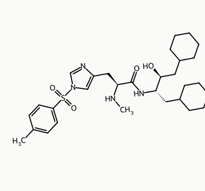 CN[C@@H](Cc1cn(S(=O)(=O)c2ccc(C)cc2)cn1)C(=O)N[C@@H](CC1CCCCC1)[C@@H](O)CC1CCCCC1